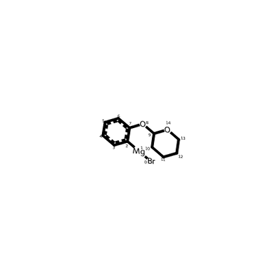 [Br][Mg][c]1ccccc1OC1CCCCO1